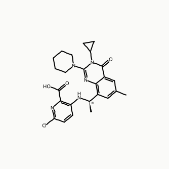 Cc1cc([C@@H](C)Nc2ccc(Cl)nc2C(=O)O)c2nc(N3CCCCC3)n(C3CC3)c(=O)c2c1